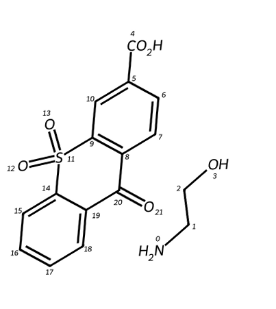 NCCO.O=C(O)c1ccc2c(c1)S(=O)(=O)c1ccccc1C2=O